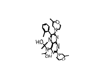 Cc1ccccc1-c1nc2c(N(C(C)O)C(C)(C)O)nc(N3CCOC(C)C3)nc2nc1N1CCOC(C)C1